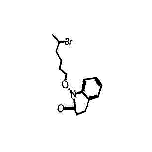 CC(Br)CCCCON1C(=O)CCc2ccccc21